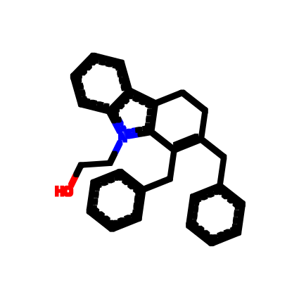 OCCn1c2c(c3ccccc31)CCC(Cc1ccccc1)=C2Cc1ccccc1